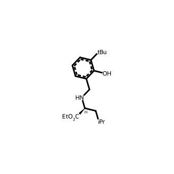 CCOC(=O)[C@H](CC(C)C)NCc1cccc(C(C)(C)C)c1O